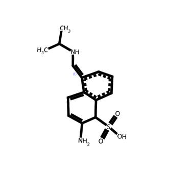 CC(C)N/C=c1\cccc2c1=CC=C(N)C2S(=O)(=O)O